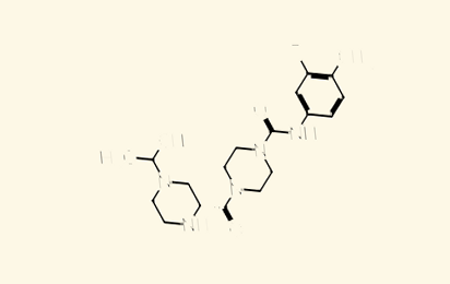 Cc1ccc(NC(=O)N2CCN(C(=O)[C@H]3CN(C(C)C)CCN3)CC2)cc1F